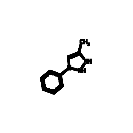 CC1=CN(c2ccccc2)NN1